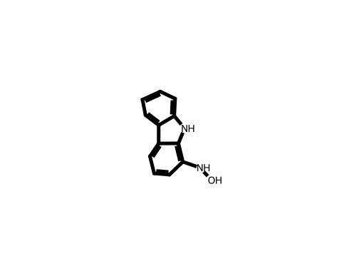 ONc1cccc2c1[nH]c1ccccc12